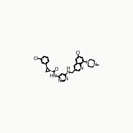 CN1CCN(c2cc(Cl)cc3cc(CNc4cc(NC(=O)[C@H]5CC5c5cccc(Cl)c5)ncn4)cnc23)CC1